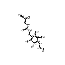 N#CC(Cl)=COC(=O)OCc1c(F)c(F)c(CC=O)c(F)c1F